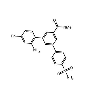 CNC(=O)c1cc(-c2ccc(S(N)(=O)=O)cc2)cc(-c2ccc(Br)cc2N)c1